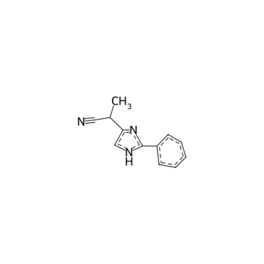 CC(C#N)c1c[nH]c(-c2ccccc2)n1